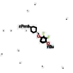 CCCCC[C@H]1CC[C@H](COc2ccc(OCCCC)c(F)c2F)CC1